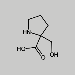 O=C(O)C1(CO)CCCN1